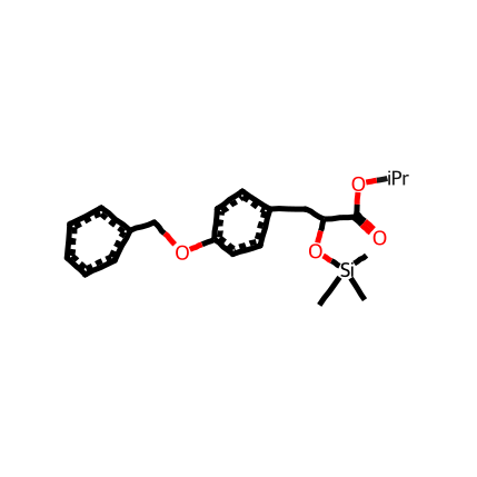 CC(C)OC(=O)C(Cc1ccc(OCc2ccccc2)cc1)O[Si](C)(C)C